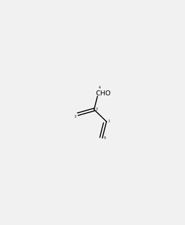 C=CC(=C)C=O